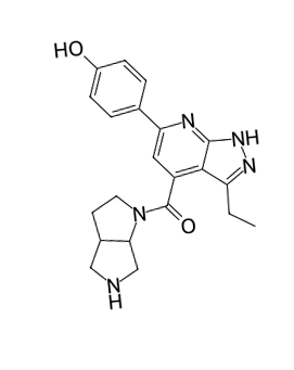 CCc1n[nH]c2nc(-c3ccc(O)cc3)cc(C(=O)N3CCC4CNCC43)c12